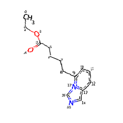 CCOC(=O)CCCCc1cccc2cncn12